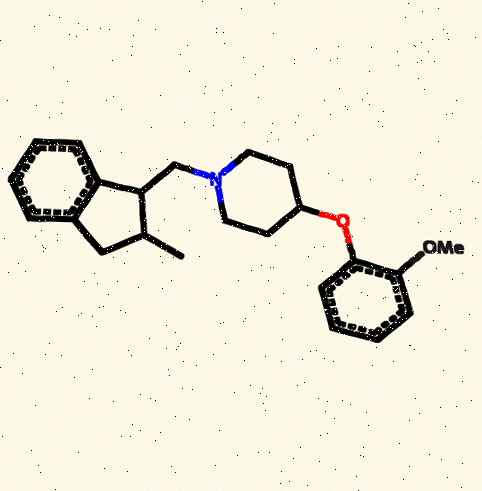 COc1ccccc1OC1CCN(CC2c3ccccc3CC2C)CC1